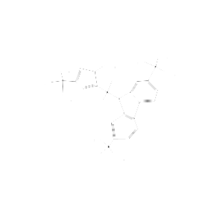 CC1C=C(C(C)(C)C)C=C1C(C)(C)C1c2cc(C(C)(C)C)ccc2-c2ccc(C(C)(C)C)cc21